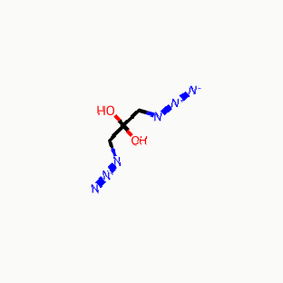 [N-]=[N+]=NCC(O)(O)CN=[N+]=[N-]